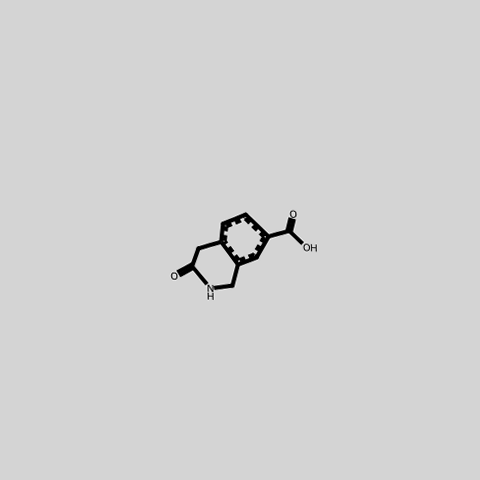 O=C1Cc2ccc(C(=O)O)cc2CN1